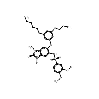 CCCCCOc1cc(OCCC)cc(Oc2cc3c(cc2NS(=O)(=O)c2ccc(OC)c(OC)c2)n(C)c(=O)n3C)c1